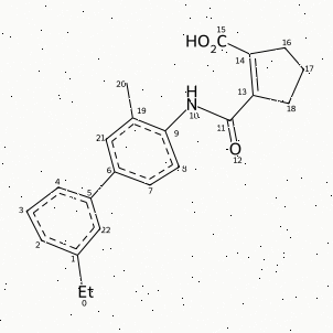 CCc1cccc(-c2ccc(NC(=O)C3=C(C(=O)O)CCC3)c(C)c2)c1